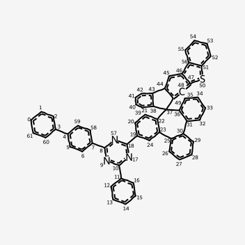 c1ccc(-c2ccc(-c3nc(-c4ccccc4)nc(-c4ccc5c(c4)-c4ccccc4-c4ccccc4C54c5ccccc5-c5cc6c(cc54)sc4ccccc46)n3)cc2)cc1